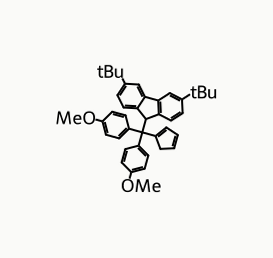 COc1ccc(C(C2=CC=CC2)(c2ccc(OC)cc2)C2c3ccc(C(C)(C)C)cc3-c3cc(C(C)(C)C)ccc32)cc1